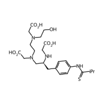 CC(C)C(=S)Nc1ccc(C[C@@H](CN(CCN(CCO)CC(=O)O)CC(=O)O)NCC(=O)O)cc1